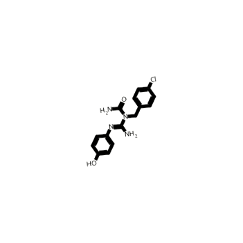 NC(=O)N(Cc1ccc(Cl)cc1)/C(N)=N/c1ccc(O)cc1